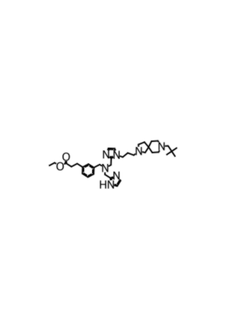 CCOC(=O)CCc1cccc(CN(Cc2ncc[nH]2)Cc2nccn2CCCN2CCC3(CCN(CC(C)(C)C)CC3)C2)c1